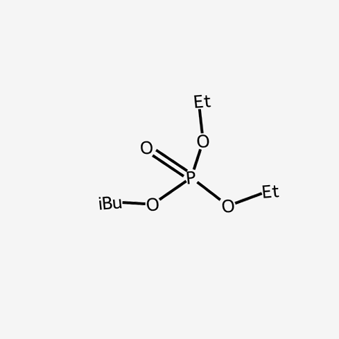 CCOP(=O)(OCC)OC(C)CC